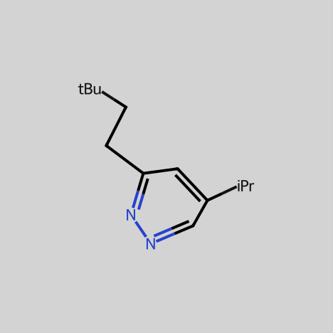 CC(C)c1cnnc(CCC(C)(C)C)c1